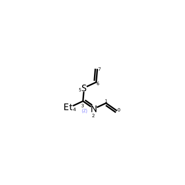 C=C/N=C(/CC)SC=C